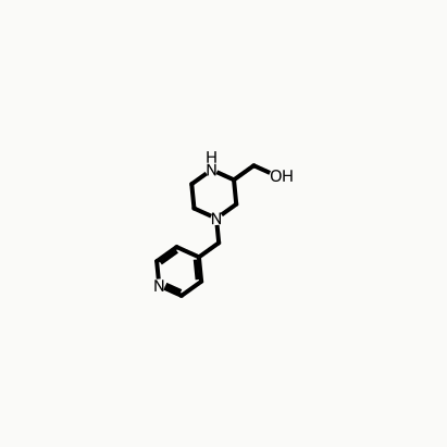 OCC1CN(Cc2ccncc2)CCN1